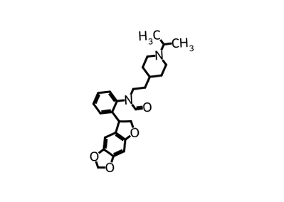 CC(C)N1CCC(CCN(C=O)c2ccccc2C2COc3cc4c(cc32)OCO4)CC1